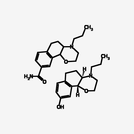 CCCN1CCOC2c3cc(C(N)=O)ccc3CCC21.CCCN1CCO[C@@H]2c3cc(O)ccc3CC[C@H]21